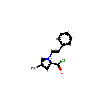 N#Cc1cc(C(=O)Cl)n(/C=C/c2ccccc2)c1